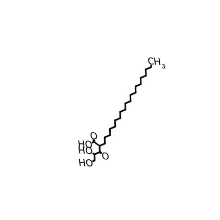 CCCCCCCCCCCCCCCCCCCCC(C(=O)O)C(=O)C(O)CO